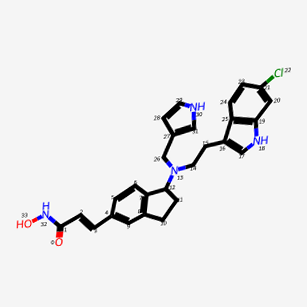 O=C(C=Cc1ccc2c(c1)CCC2N(CCc1c[nH]c2cc(Cl)ccc12)Cc1cc[nH]c1)NO